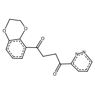 O=C(CCC(=O)c1cccc2c1OCCO2)c1cccnn1